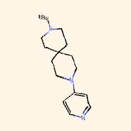 CC(C)(C)N1CCC2(CCN(c3ccncc3)CC2)CC1